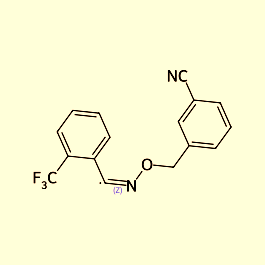 N#Cc1cccc(CO/N=[C]\c2ccccc2C(F)(F)F)c1